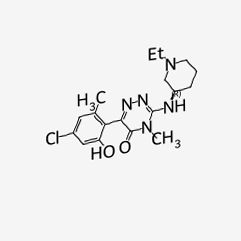 CCN1CCC[C@@H](Nc2nnc(-c3c(C)cc(Cl)cc3O)c(=O)n2C)C1